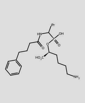 CC(C)C(NC(=O)CCCc1ccccc1)P(=O)(O)O[C@@H](CCCCN)C(=O)O